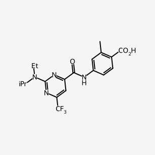 CCN(c1nc(C(=O)Nc2ccc(C(=O)O)c(C)c2)cc(C(F)(F)F)n1)C(C)C